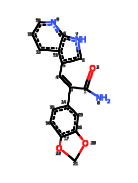 NC(=O)C(=Cc1c[nH]c2ncccc12)c1ccc2c(c1)OCO2